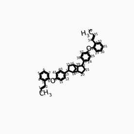 CC=Cc1ccccc1Oc1ccc(C2CC3CC2C2CCC(c4ccc(Oc5ccccc5C=CC)cc4)C32)cc1